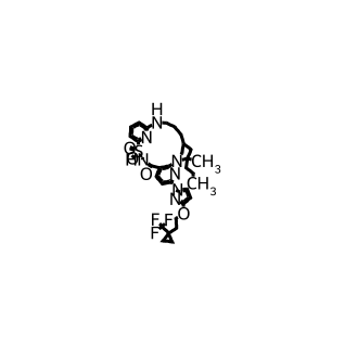 CCCC1(C)CC2CCCNc3cccc(n3)S(=O)(=O)NC(=O)c3ccc(-n4ccc(OCCC5(C(F)(F)F)CC5)n4)nc3N1C2